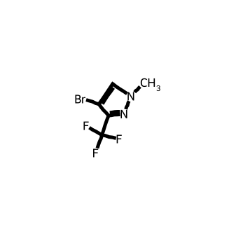 Cn1cc(Br)c(C(F)(F)F)n1